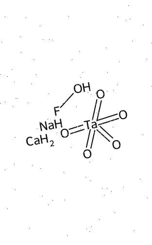 OF.[CaH2].[NaH].[O]=[Ta](=[O])(=[O])(=[O])=[O]